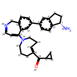 N[C@H]1CCc2cc(-c3ccc4c(c3)C(N3CC/C=C(\C(=O)C5CC5)CCC3)=CC=NC4)ccc21